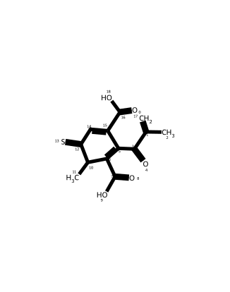 C=C(C)C(=O)C1=C(C(=O)O)C(C)C(=S)C=C1C(=O)O